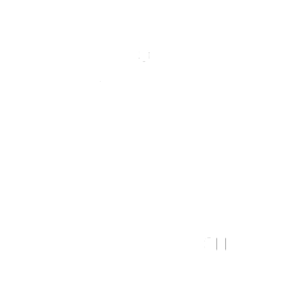 CC/C=C/c1ccc2oc3ccccc3c2c1